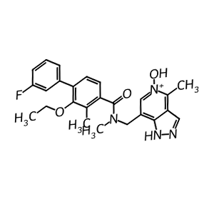 CCOc1c(-c2cccc(F)c2)ccc(C(=O)N(C)Cc2c[n+](O)c(C)c3cn[nH]c23)c1C